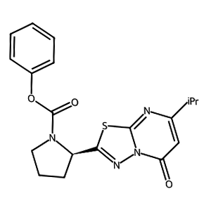 CC(C)c1cc(=O)n2nc([C@H]3CCCN3C(=O)Oc3ccccc3)sc2n1